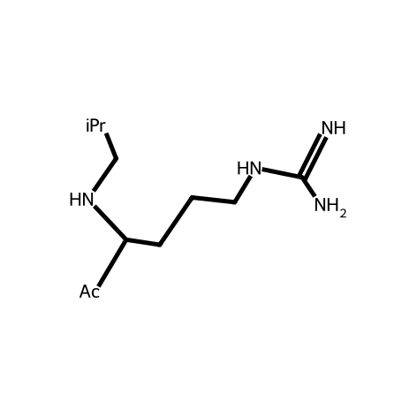 CC(=O)C(CCCNC(=N)N)NCC(C)C